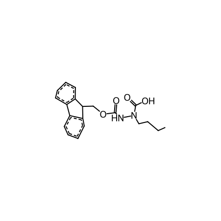 CCCCN(NC(=O)OCC1c2ccccc2-c2ccccc21)C(=O)O